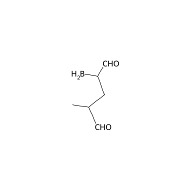 BC(C=O)CC(C)C=O